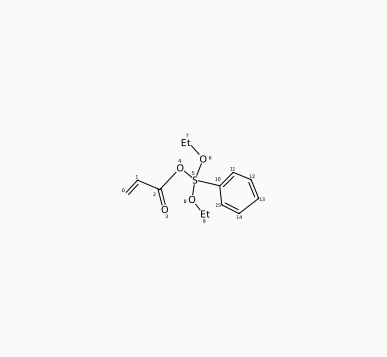 C=CC(=O)OS(OCC)(OCC)c1ccccc1